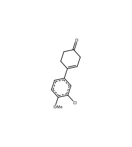 COc1ccc(C2=CCC(=O)CC2)cc1Cl